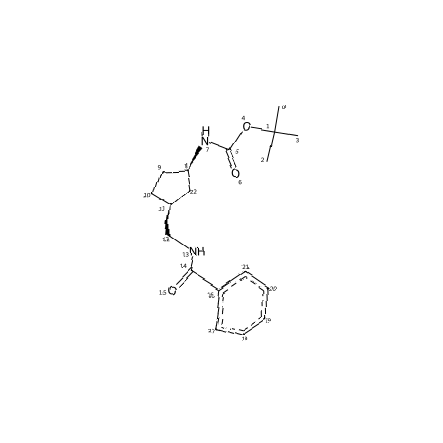 CC(C)(C)OC(=O)N[C@@H]1CC[C@H](CNC(=O)c2ccccc2)C1